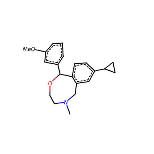 COc1cccc(C2OCCN(C)Cc3cc(C4CC4)ccc32)c1